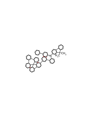 CC1(C)c2ccccc2-c2ccc(N(c3ccc(-c4ccccc4)cc3)c3ccccc3-c3cccc(-c4ccc5c(c4)C4(c6ccccc6-c6ccccc6-c6ccccc64)c4ccccc4-5)c3)cc21